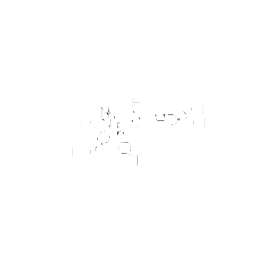 COc1ccc2c(c1)C(c1ccc(Cl)cc1)=N[C@@H](CC(=O)NCCc1cc3ccc(B(O)O)cc3s1)c1nnc(C)n1-2